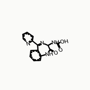 O=C(O)NC1N=C(c2ccccn2)c2ccccc2NC1=O